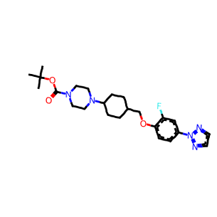 CC(C)(C)OC(=O)N1CCN(C2CCC(COc3ccc(-n4nccn4)cc3F)CC2)CC1